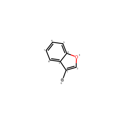 [B]c1coc2ccccc12